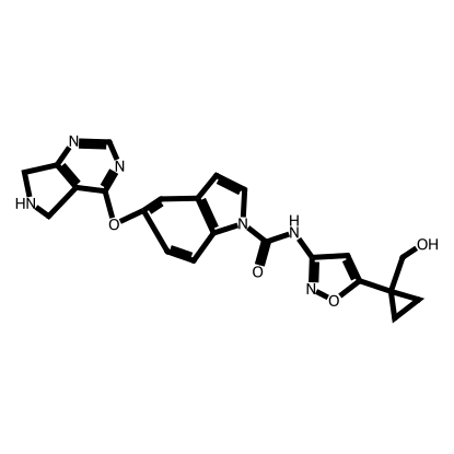 O=C(Nc1cc(C2(CO)CC2)on1)n1ccc2cc(Oc3ncnc4c3CNC4)ccc21